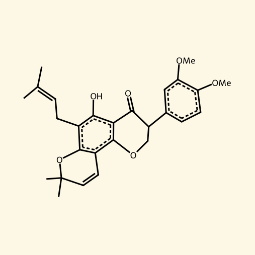 COc1ccc(C2COc3c4c(c(CC=C(C)C)c(O)c3C2=O)OC(C)(C)C=C4)cc1OC